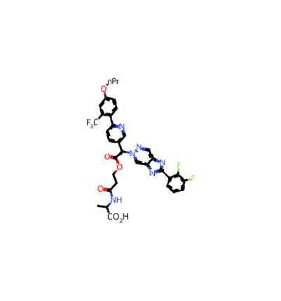 CCCOc1ccc(-c2ccc(C(C(=O)OCCC(=O)NC(C)C(=O)O)n3cc4nc(-c5cccc(F)c5F)nc-4cn3)cn2)c(C(F)(F)F)c1